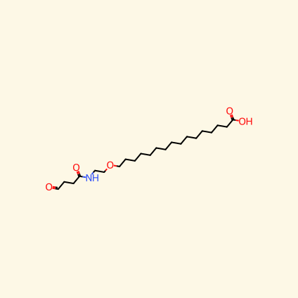 O=CCCC(=O)NCCOCCCCCCCCCCCCCCCC(=O)O